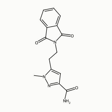 Cn1nc(C(N)=O)cc1CCN1C(=O)c2ccccc2C1=O